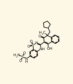 CC1(CC2CCCC2)C(=O)C(C2=NS(=O)(=O)c3cc(NS(N)(=O)=O)ccc3N2)=C(O)c2ccccc21